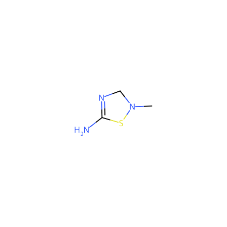 CN1CN=C(N)S1